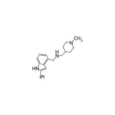 CC(C)c1cc2c(CNCC3CCN(C)CC3)cccc2[nH]1